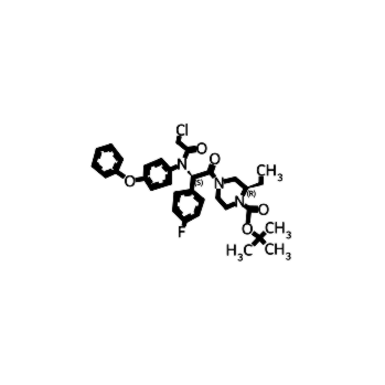 CC[C@@H]1CN(C(=O)[C@H](c2ccc(F)cc2)N(C(=O)CCl)c2ccc(Oc3ccccc3)cc2)CCN1C(=O)OC(C)(C)C